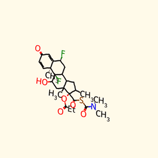 CCC(=O)O[C@]1(C(=O)SC(=O)N(C)C)C(C)CC2C3C[C@H](F)C4=CC(=O)C=C[C@]4(C)[C@@]3(F)C(O)CC21C